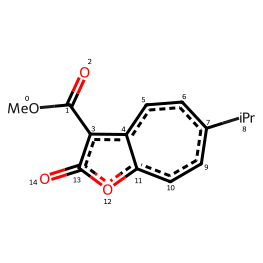 COC(=O)c1c2ccc(C(C)C)ccc-2oc1=O